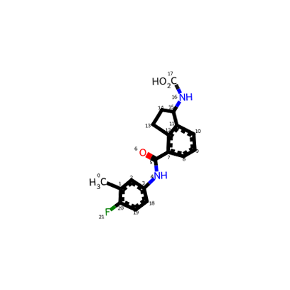 Cc1cc(NC(=O)c2cccc3c2CCC3NC(=O)O)ccc1F